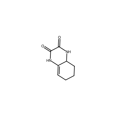 O=C1NC2=CCCCC2NC1=O